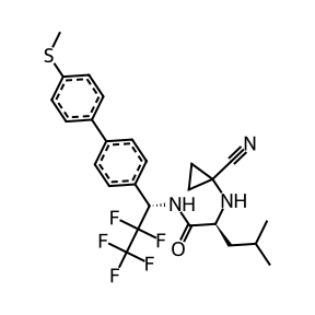 CSc1ccc(-c2ccc([C@H](NC(=O)[C@H](CC(C)C)NC3(C#N)CC3)C(F)(F)C(F)(F)F)cc2)cc1